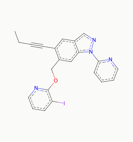 CCC#Cc1cc2cnn(-c3ccccn3)c2cc1COc1ncccc1I